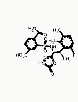 Cc1ccc(F)c([C@@H](C)[C@H](NS(=O)(=O)c2cc(C(=O)O)ccc2C(N)=O)c2n[nH]c(=O)o2)c1C